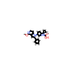 COc1nccc2c1cc(-c1ccccc1)n2-c1ccc(C2(NC(=O)O)CCC2)cc1